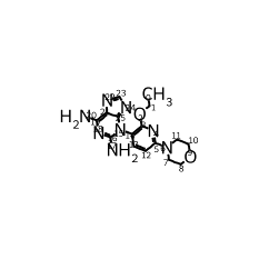 CCOc1nc(N2CCOCC2)ccc1-n1c(N)nc(N)c2ncnc1-2